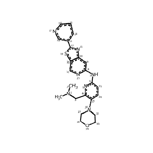 CN(C)Cc1nc(Nc2cc3nc(-c4cccnc4)sc3cn2)ccc1N1CCOCC1